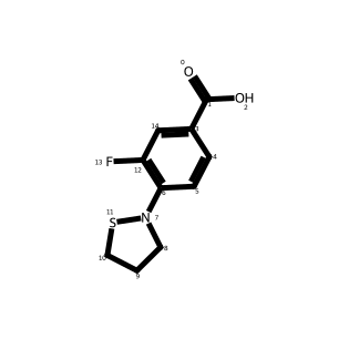 O=C(O)c1ccc(N2CCCS2)c(F)c1